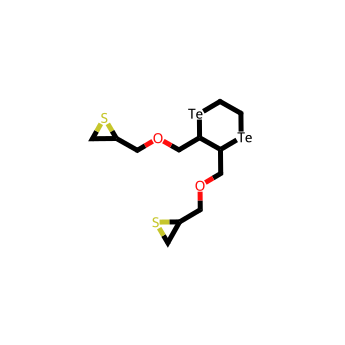 C1C[Te]C(COCC2CS2)C(COCC2CS2)[Te]1